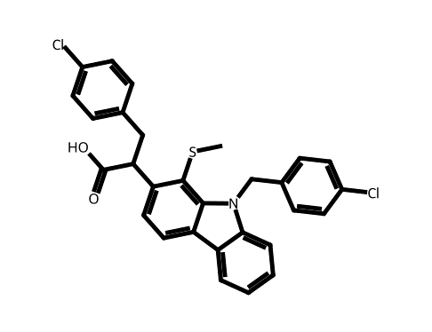 CSc1c(C(Cc2ccc(Cl)cc2)C(=O)O)ccc2c3ccccc3n(Cc3ccc(Cl)cc3)c12